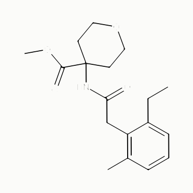 CCc1cccc(C)c1CC(=O)NC1(C(=O)OC)CCOCC1